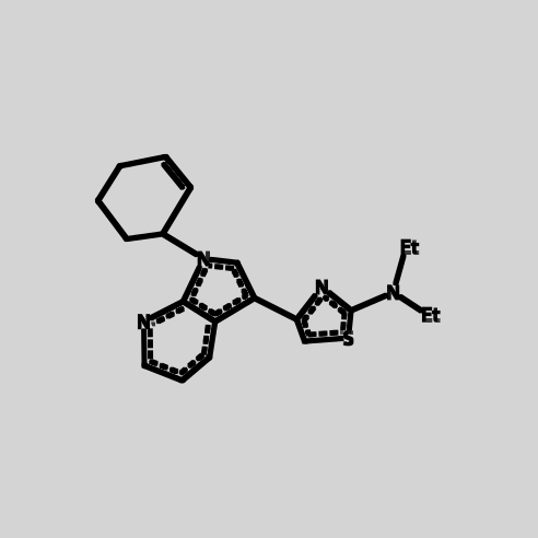 CCN(CC)c1nc(-c2cn(C3C=CCCC3)c3ncccc23)cs1